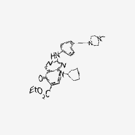 CCOC(=O)c1cn(C2CCCCC2)c2nc(Nc3ccc(N4CCN(C)CC4)cc3)ncc2c1=O